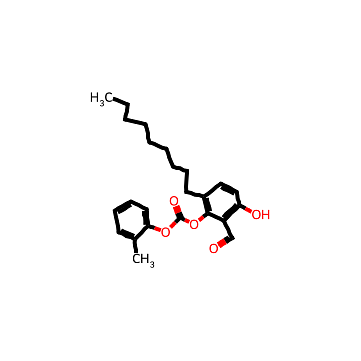 CCCCCCCCCc1ccc(O)c(C=O)c1OC(=O)Oc1ccccc1C